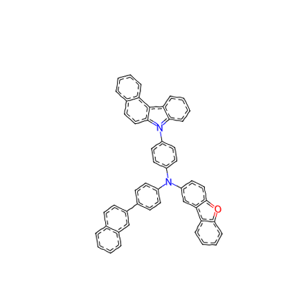 c1ccc2cc(-c3ccc(N(c4ccc(-n5c6ccccc6c6c7ccccc7ccc65)cc4)c4ccc5oc6ccccc6c5c4)cc3)ccc2c1